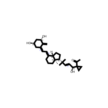 C=C1/C(=C\C=C2/CCC[C@]3(C)[C@@H](C(C)(C)/C=C/[C@H](O)C4(C(C)=O)CC4)CC[C@@H]23)C[C@@H](O)C[C@@H]1O